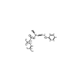 C#CC(C#CCOc1ccccc1)OC(=O)C1C(C=C(C)C)C1(C)C